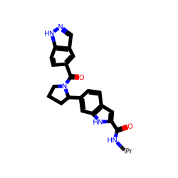 CC(C)NC(=O)c1cc2ccc(C3CCCN3C(=O)c3ccc4[nH]ncc4c3)cc2[nH]1